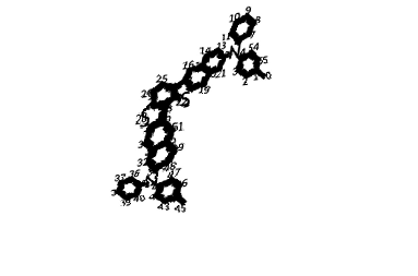 Cc1ccc(N(c2ccccc2)c2ccc3cc4c(cc3c2)sc2c4ccc3sc4cc5cc(N(c6ccccc6)c6ccc(C)cc6)ccc5cc4c32)cc1